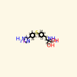 N/C=C(\N=C/I)c1ccc(Sc2ccc(CCC(N)(CO)CO)cc2)cc1